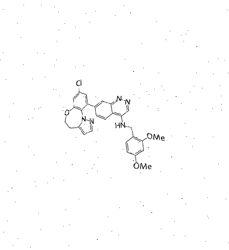 COc1ccc(CNc2cnnc3cc(-c4cc(Cl)cc5c4-n4nccc4CCO5)ccc23)c(OC)c1